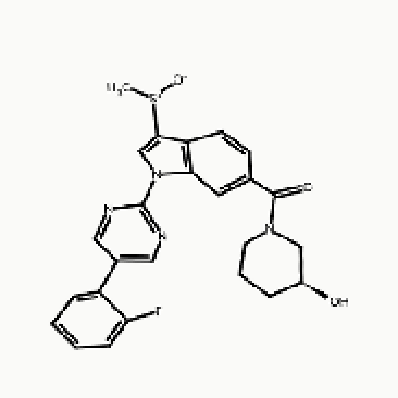 C[S+]([O-])c1cn(-c2ncc(-c3ccccc3F)cn2)c2cc(C(=O)N3CCC[C@H](O)C3)ccc12